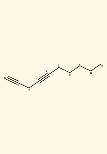 [C]#CCC#CCCCCC